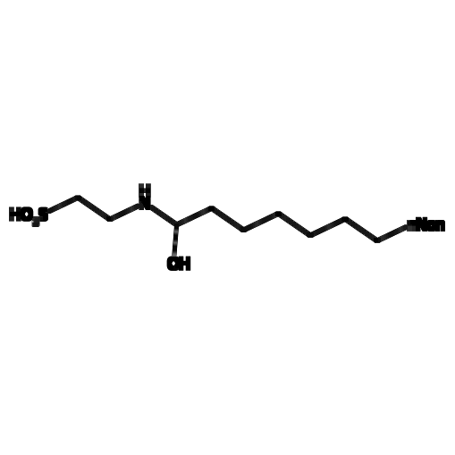 CCCCCCCCCCCCCCCC(O)NCCS(=O)(=O)O